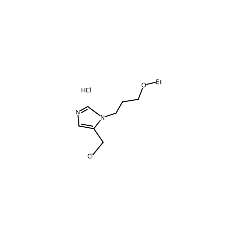 CCOCCCn1cncc1CCl.Cl